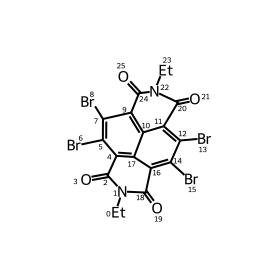 CCN1C(=O)c2c(Br)c(Br)c3c4c(c(Br)c(Br)c(c24)C1=O)C(=O)N(CC)C3=O